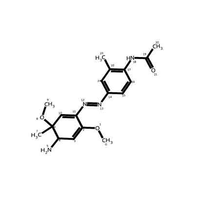 COC1=CC(N)C(C)(OC)C=C1N=Nc1ccc(NC(C)=O)c(C)c1